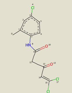 Cc1cc(Cl)ccc1NC(=O)CC(=O)C=C(Cl)Cl